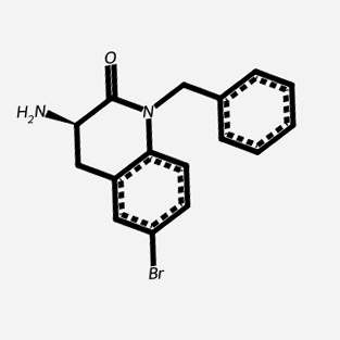 N[C@@H]1Cc2cc(Br)ccc2N(Cc2ccccc2)C1=O